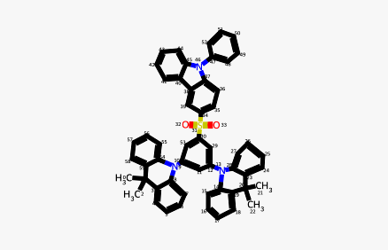 CC1(C)c2ccccc2N(c2cc(N3c4ccccc4C(C)(C)c4ccccc43)cc(S(=O)(=O)c3ccc4c(c3)c3ccccc3n4-c3ccccc3)c2)c2ccccc21